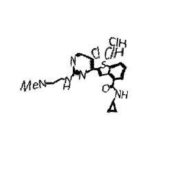 CNCCNc1ncc(Cl)c(-c2cc3c(C(=O)NC4CC4)cccc3s2)n1.Cl.Cl